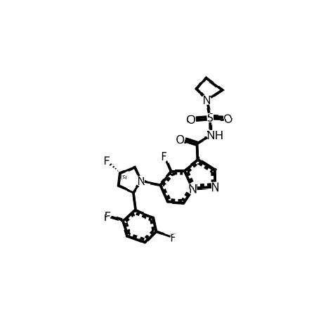 O=C(NS(=O)(=O)N1CCC1)c1cnn2ccc(N3C[C@@H](F)CC3c3cc(F)ccc3F)c(F)c12